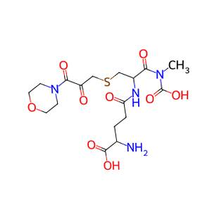 CN(C(=O)O)C(=O)C(CSCC(=O)C(=O)N1CCOCC1)NC(=O)CCC(N)C(=O)O